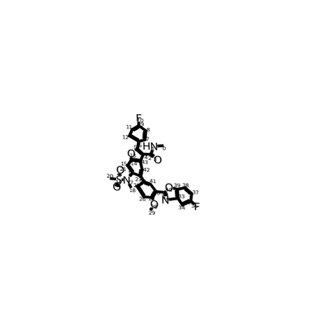 CNC(=O)c1c(-c2ccc(F)cc2)oc2cc(N(C)S(C)(=O)=O)c(-c3ccc(OC)c(-c4nc5cc(F)ccc5o4)c3)cc12